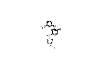 Cc1ccc(Nc2ncc(Cl)c(Nc3cccc(C(F)(F)F)c3)n2)cc1